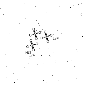 Cl.O=S(=O)([O-])[O-].O=S(=O)([O-])[O-].O=S(=O)([O-])[O-].[La+3].[La+3]